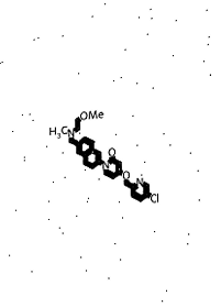 COCCN(C)Cc1ccc2c(c1)CCC(n1ccc(OCc3ccc(Cl)cn3)cc1=O)=C2